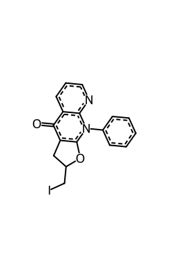 O=c1c2c(n(-c3ccccc3)c3ncccc13)OC(CI)C2